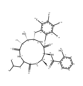 CC(C)CC1NC(=O)[C@H](C)[C@H](O)[C@H](Cc2c(F)c(F)c(F)c(F)c2F)NC(=O)[C@@H](NC(=O)c2ccccc2O)[C@@H](C)OC1=O